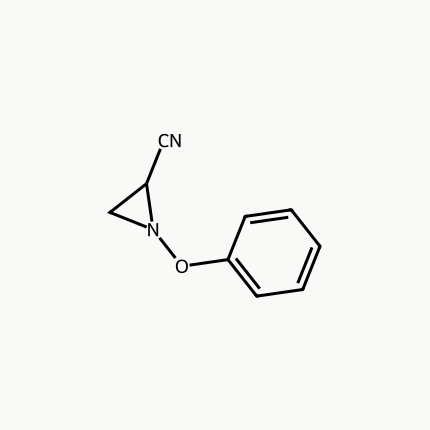 N#CC1CN1Oc1ccccc1